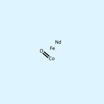 [Fe].[Nd].[O]=[Co]